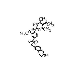 C=C/C(=C\C)C(C)NC(=O)Nc1ccc(S(=O)(=O)Cc2ccc3c(c2)CCNC3)cc1OC